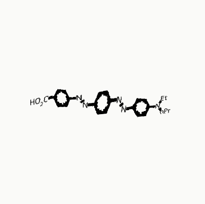 CCCN(CC)c1ccc(N=Nc2ccc(N=Nc3ccc(C(=O)O)cc3)cc2)cc1